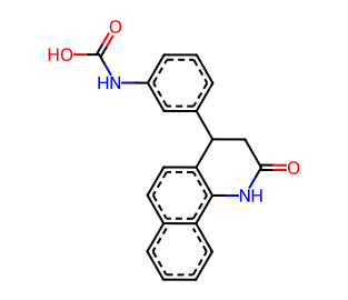 O=C(O)Nc1cccc(C2CC(=O)Nc3c2ccc2ccccc32)c1